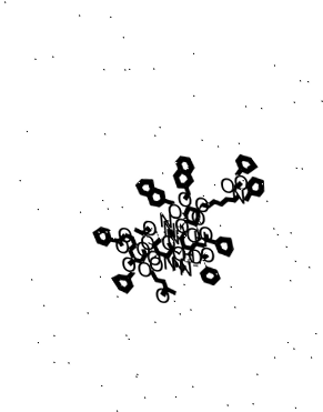 CC(=O)CCC(=O)OC1C(O[C@H]2[C@H](N=[N+]=[N-])[C@H](O[C@@H]3[C@@H](N=[N+]=[N-])[C@@H](O[C@@H]4[C@H](OCc5ccc6ccccc6c5)[C@@H](OCc5ccc6ccccc6c5)[C@@H](OCCCCCN(Cc5ccccc5)C(=O)OCc5ccccc5)O[C@@H]4COCc4ccccc4)O[C@@H]4CO[C@H](c5ccccc5)O[C@H]34)O[C@@H](C)[C@H]2OC(C)=O)OC2COC(c3ccccc3)OC2C1OCc1ccccc1